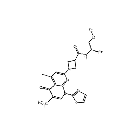 CCOC[C@@H](CC)NC(=O)C1CN(c2cc(C)c3c(=O)c(C(=O)O)cn(-c4nccs4)c3n2)C1